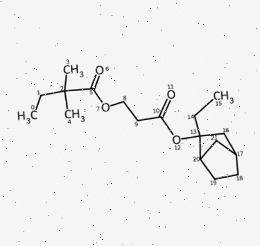 CCC(C)(C)C(=O)OCCC(=O)OC1(CC)CC2CCC1C2